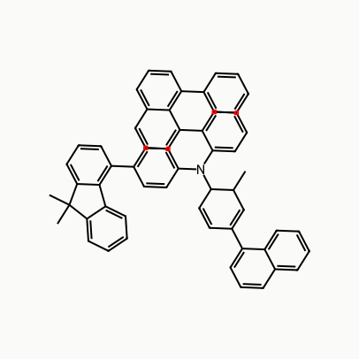 CC1C=C(c2cccc3ccccc23)C=CC1N(c1ccc(-c2cccc3c2-c2ccccc2C3(C)C)cc1)c1ccccc1-c1cccc2cccc(-c3ccccc3)c12